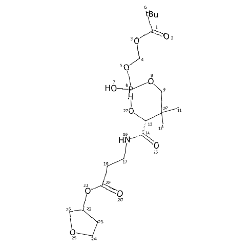 CC(C)(C)C(=O)OCO[PH]1(O)OCC(C)(C)[C@H](C(=O)NCCC(=O)OC2CCOC2)O1